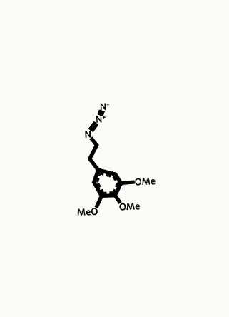 COc1cc(CCN=[N+]=[N-])cc(OC)c1OC